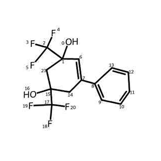 OC1(C(F)(F)F)C=C(c2ccccc2)CC(O)(C(F)(F)F)C1